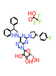 O=C(O)C(F)(F)F.OC[C@H]1O[C@@H](n2cnc3c(NCC(c4ccccc4)c4ccccc4)nc(N4CC[C@H](c5ccc(F)cc5)C4)nc32)[C@H](O)[C@@H]1O